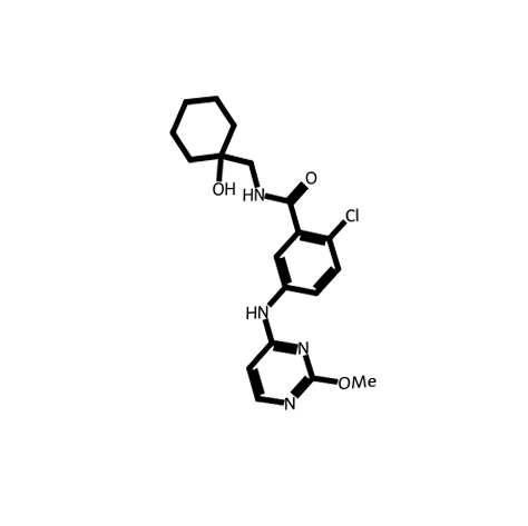 COc1nccc(Nc2ccc(Cl)c(C(=O)NCC3(O)CCCCC3)c2)n1